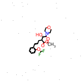 COC(=O)C(CC=Cc1ccccc1OC(F)F)[C@H](O)C(=O)N1CCOCC1